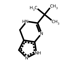 CC(C)(C)C1=Nc2[nH]ncc2CN1